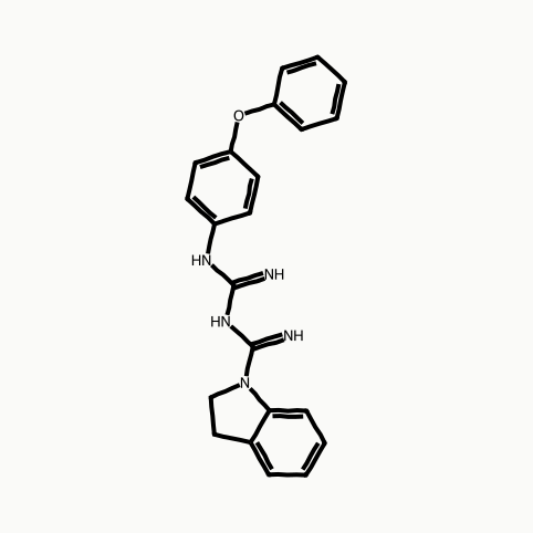 N=C(NC(=N)N1CCc2ccccc21)Nc1ccc(Oc2ccccc2)cc1